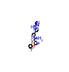 CN1CC(Oc2c(F)cccc2F)CC(C(=O)N(N)c2cc(-c3ccnc(Nc4ccnn4C)n3)ccn2)C1